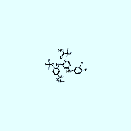 CNS(=O)(=O)c1ccc(OC(F)(F)F)c(Nc2cc(Nc3ccc(F)c(F)c3)ncn2)c1.O=C(O)C(F)(F)F